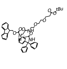 CC(C)(C)OC(=O)CCOCCOCCNC(=O)[C@H](CC(=O)NC(c1ccccc1)(c1ccccc1)c1ccccc1)NC(=O)OCC1c2ccccc2-c2ccccc21